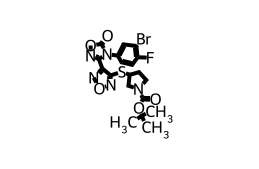 CC(C)(C)OC(=O)N1CCC(Sc2nonc2-c2noc(=O)n2-c2ccc(F)c(Br)c2)C1